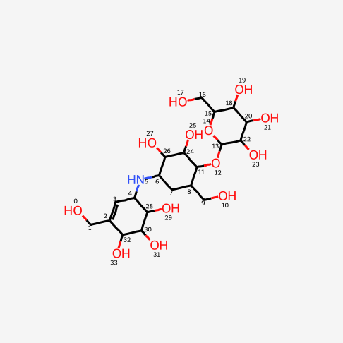 OCC1=CC(NC2CC(CO)C(OC3OC(CO)C(O)C(O)C3O)C(O)C2O)C(O)C(O)C1O